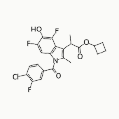 Cc1c(C(C)C(=O)OC2CCC2)c2c(F)c(O)c(F)cc2n1C(=O)c1ccc(Cl)c(F)c1